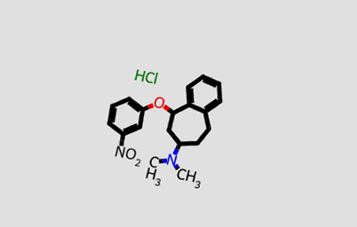 CN(C)C1CCc2ccccc2C(Oc2cccc([N+](=O)[O-])c2)C1.Cl